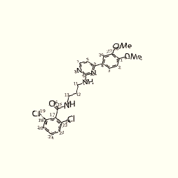 COc1ccc(-c2ccnc(NCCCNC(=O)c3c(Cl)cccc3Cl)n2)cc1OC